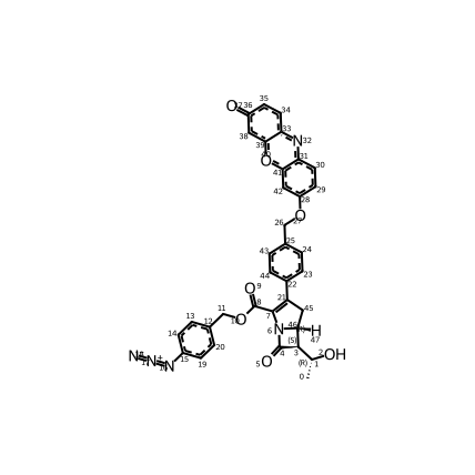 C[C@@H](O)[C@H]1C(=O)N2C(C(=O)OCc3ccc(N=[N+]=[N-])cc3)=C(c3ccc(COc4ccc5nc6ccc(=O)cc-6oc5c4)cc3)C[C@H]12